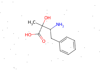 CC(O)(C(=O)O)C(N)Cc1ccccc1